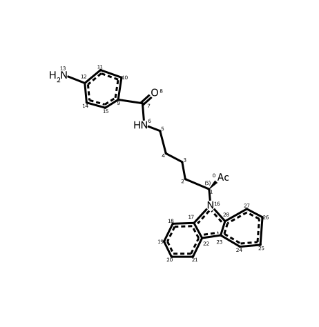 CC(=O)[C@H](CCCCNC(=O)c1ccc(N)cc1)n1c2ccccc2c2ccccc21